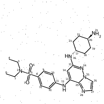 CCN(CC)S(=O)(=O)c1ccc(Nc2cc(N[C@H]3CC[C@H](N)CC3)nn3ccnc23)cc1